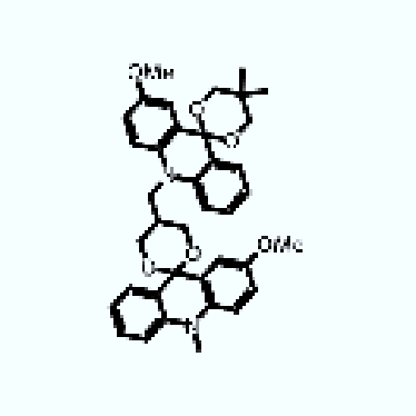 COc1ccc2c(c1)C1(OCC(CN3c4ccccc4C4(OCC(C)(C)CO4)c4cc(OC)ccc43)CO1)c1ccccc1N2C